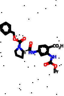 CC(C)OC(=O)Nc1cc(NC(=O)[C@@H]2CCCN2C(=O)OCc2ccccc2)ccc1C(=O)O